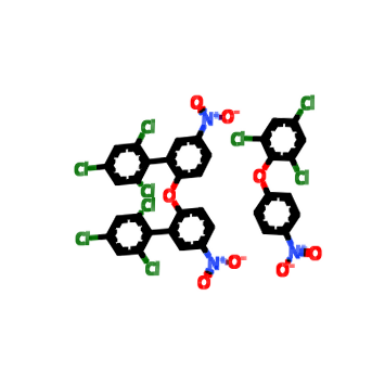 O=[N+]([O-])c1ccc(Oc2c(Cl)cc(Cl)cc2Cl)cc1.O=[N+]([O-])c1ccc(Oc2ccc([N+](=O)[O-])cc2-c2c(Cl)cc(Cl)cc2Cl)c(-c2c(Cl)cc(Cl)cc2Cl)c1